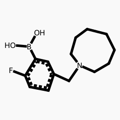 OB(O)c1cc(CN2CCCCCCC2)ccc1F